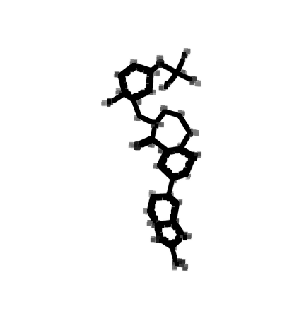 Nc1nc2cc(-c3cnc4c(c3)C(=O)N(Cc3cc(OC(F)(F)F)ccc3F)CCS4)ccn2n1